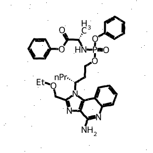 CCC[C@H](CCOP(=O)(N[C@@H](C)C(=O)Oc1ccccc1)Oc1ccccc1)n1c(COCC)nc2c(N)nc3ccccc3c21